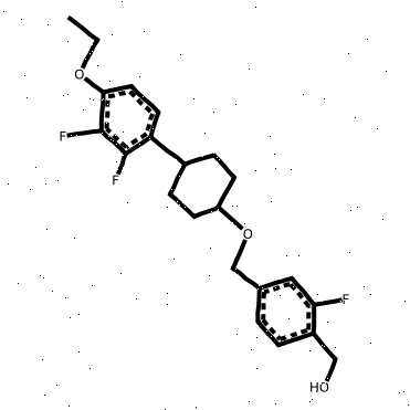 CCOc1ccc(C2CCC(OCc3ccc(CO)c(F)c3)CC2)c(F)c1F